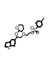 Cc1ccc(S(=O)(=O)OCCOCC(OC2CCCCO2)c2ccc3sccc3c2)cc1